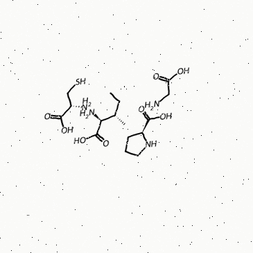 CC[C@H](C)[C@H](N)C(=O)O.NCC(=O)O.N[C@@H](CS)C(=O)O.O=C(O)[C@@H]1CCCN1